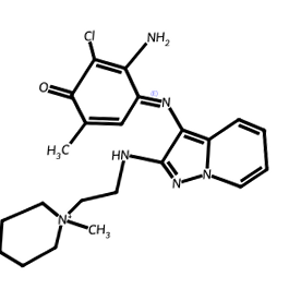 CC1=C/C(=N\c2c(NCC[N+]3(C)CCCCC3)nn3ccccc23)C(N)=C(Cl)C1=O